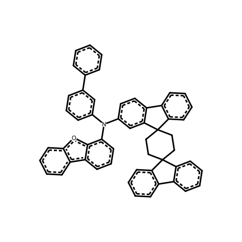 c1ccc(-c2cccc(N(c3ccc4c(c3)C3(CCC5(CC3)c3ccccc3-c3ccccc35)c3ccccc3-4)c3cccc4c3oc3ccccc34)c2)cc1